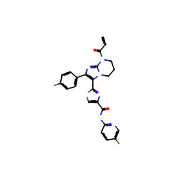 C=CC(=O)N1CCCn2c1nc(-c1ccc(F)cc1)c2-c1nc(C(=O)Nc2ccc(F)cn2)cs1